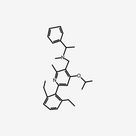 CCc1cccc(CC)c1-c1cc(OC(C)C)c(CN(C)C(C)c2ccccc2)c(C)n1